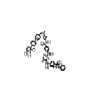 CN(CC1CCN(c2ccc(C3CCC(=O)NC3=O)cc2)CC1)C1CC(NC(=O)c2ccc(Nc3ncc(F)c(Nc4ccc(C(=O)Nc5ccccc5Cl)cc4)n3)cc2)C1